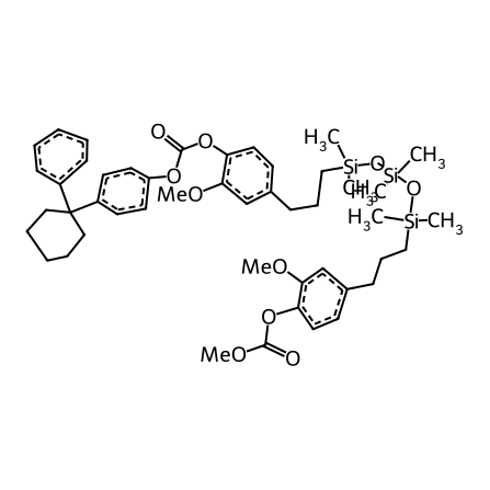 COC(=O)Oc1ccc(CCC[Si](C)(C)O[Si](C)(C)O[Si](C)(C)CCCc2ccc(OC(=O)Oc3ccc(C4(c5ccccc5)CCCCC4)cc3)c(OC)c2)cc1OC